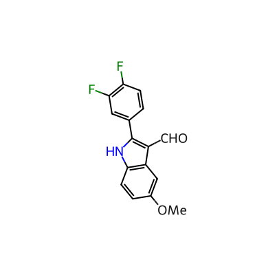 COc1ccc2[nH]c(-c3ccc(F)c(F)c3)c(C=O)c2c1